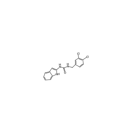 O=C(NCc1ccc(Cl)c(Cl)c1)Nc1cc2ccccc2[nH]1